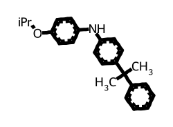 CC(C)Oc1ccc(Nc2ccc(C(C)(C)c3ccccc3)cc2)cc1